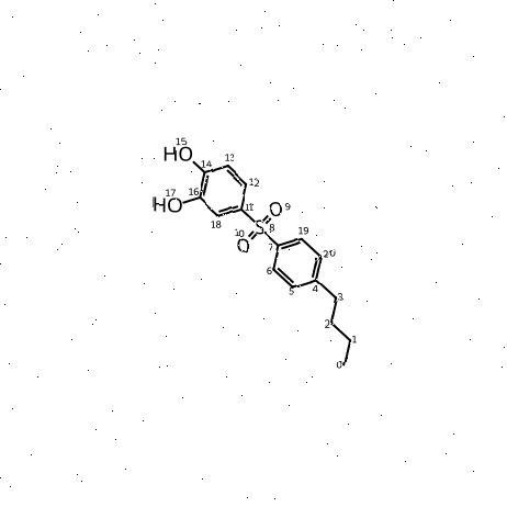 CCCCc1ccc(S(=O)(=O)c2ccc(O)c(O)c2)cc1